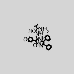 COc1ccc(-c2c(CNC(O)[C@@H](N)C(C)C)[nH]c3c(-c4ccccc4)c(-c4ccccc4)nn3c2=O)cc1